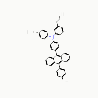 CCCc1cccc(N(c2ccc(C)cc2)c2ccc(-c3c4ccccc4c(-c4ccc(C)cc4)c4ccccc34)cc2)c1